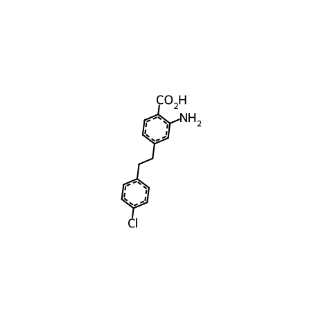 Nc1cc(CCc2ccc(Cl)cc2)ccc1C(=O)O